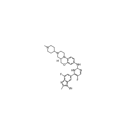 Cc1nc2c(F)cc(C3=C(F)C=NC(Nc4ccc5c(c4)OC[C@H]4CN(C6CCN(C)CC6)CCN54)N3)cc2n1C(C)C